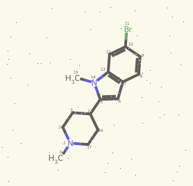 CN1CCC(c2cc3ccc(Br)cc3n2C)CC1